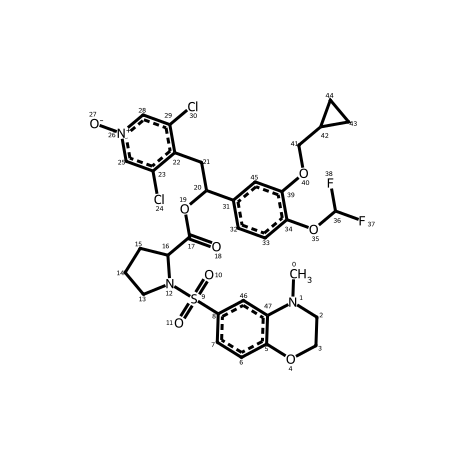 CN1CCOc2ccc(S(=O)(=O)N3CCCC3C(=O)OC(Cc3c(Cl)c[n+]([O-])cc3Cl)c3ccc(OC(F)F)c(OCC4CC4)c3)cc21